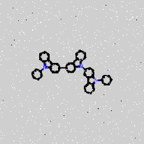 C1=c2c(n(-c3ccccc3)c3ccc(-n4c5ccccc5c5cc(-c6ccc7c(c6)c6ccccc6n7-c6ccccc6)ccc54)cc23)=CCC1